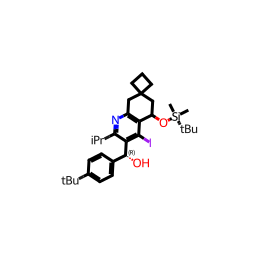 CC(C)c1nc2c(c(I)c1[C@H](O)c1ccc(C(C)(C)C)cc1)C(O[Si](C)(C)C(C)(C)C)CC1(CCC1)C2